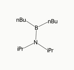 CCCCB(CCCC)N(C(C)C)C(C)C